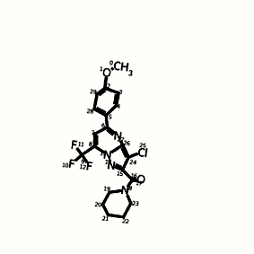 COc1ccc(-c2cc(C(F)(F)F)n3nc(C(=O)N4CCCCC4)c(Cl)c3n2)cc1